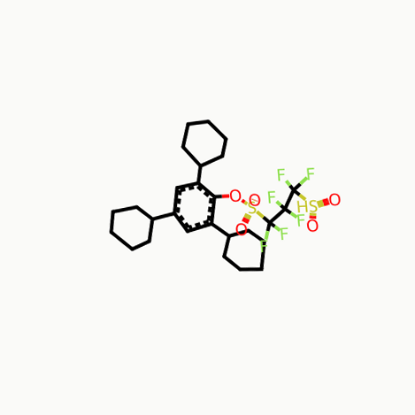 O=[SH](=O)C(F)(F)C(F)(F)C(F)(F)S(=O)(=O)Oc1c(C2CCCCC2)cc(C2CCCCC2)cc1C1CCCCC1